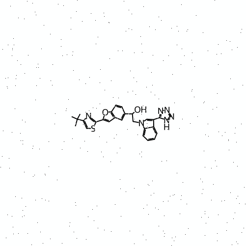 CC(C)(C)c1csc(-c2cc3cc(C(O)Cn4cc(-c5nnn[nH]5)c5ccccc54)ccc3o2)n1